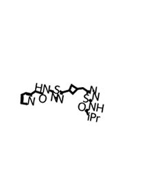 CC(C)C(=O)Nc1nnc(CC2CC(c3nnc(NC(=O)Cc4ccccn4)s3)C2)s1